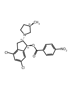 C[C@@H]1CCN([C@H]2Cc3c(Cl)cc(Cl)cc3[C@@H]2OC(=O)c2ccc([N+](=O)[O-])cc2)C1